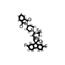 O=C1c2ccccc2C(=O)N1C1CCN(CCCCC2(C(=O)NCC(F)(F)F)c3cc(F)ccc3-c3ccc(F)cc32)CC1